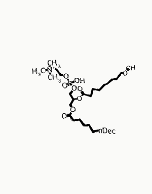 CCCCCCCCCCCCCCCC(=O)OCC(COP(=O)(O)OCC[N+](C)(C)C)OC(=O)CCCCCCCCOO